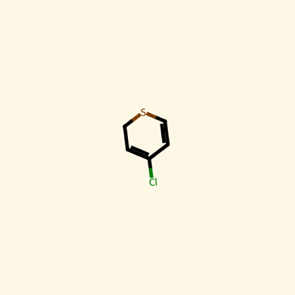 ClC1=CCSC=C1